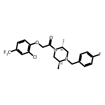 C[C@@H]1CN(Cc2ccc(F)cc2)[C@@H](C)CN1C(=O)COc1ccc(C(F)(F)F)cc1Cl